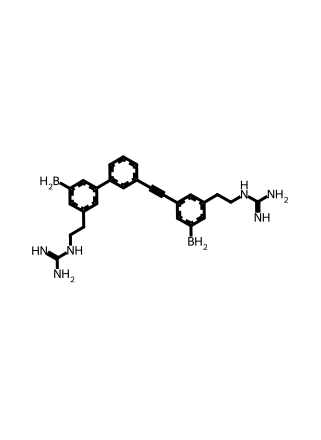 Bc1cc(C#Cc2cccc(-c3cc(B)cc(CCNC(=N)N)c3)c2)cc(CCNC(=N)N)c1